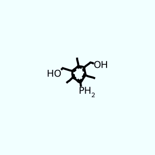 Cc1c(P)c(C)c(CO)c(C)c1CO